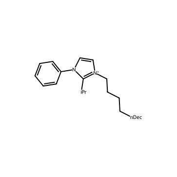 CCCCCCCCCCCCCC[n+]1ccn(-c2ccccc2)c1C(C)C